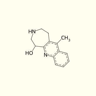 Cc1c2c(nc3ccccc13)C(O)CNCC2